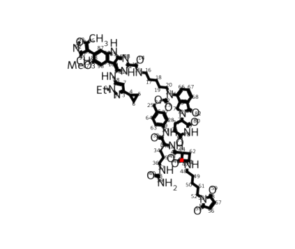 CCn1nc(C2CC2)cc1Nc1nc(C(=O)NCCCCCN(C(=O)OCc2ccc(NC(=O)[C@H](CCCNC(N)=O)NC(=O)C3(C(=O)NCCCCCN4C(=O)C=CC4=O)CCC3)cc2)c2cccc3c2CN(C2CCC(=O)NC2=O)C3=O)nc2[nH]c3cc(-c4c(C)noc4C)c(OC)cc3c12